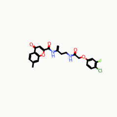 C=C(CCNC(=O)COc1ccc(Cl)c(F)c1)NC(=O)c1cc(=O)c2ccc(C)cc2o1